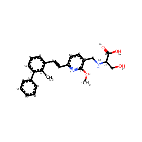 COc1nc(/C=C/c2cccc(-c3ccccc3)c2C)ccc1CNC(CO)C(=O)O